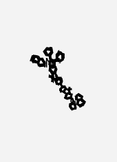 CC1(C)c2cc(-c3ccc4c(c3)C(C)(C)c3cc5c(cc3-4)c(-c3ccccc3)c(-c3ccccc3)n5-c3ccc4ccccc4c3)ccc2-c2ccc(N(c3ccccc3)c3cccc4ccccc34)cc21